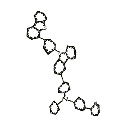 c1ccc(N(c2ccc(-c3ccc4c(c3)c3ccccc3n4-c3ccc(-c4cccc5c4sc4ccccc45)cc3)cc2)c2ccc(-c3ccccn3)cc2)cc1